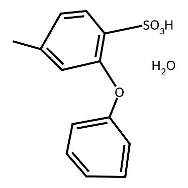 Cc1ccc(S(=O)(=O)O)c(Oc2ccccc2)c1.O